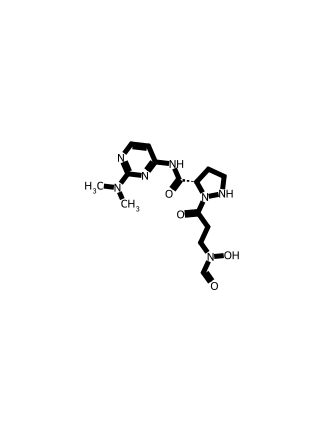 CN(C)c1nccc(NC(=O)[C@@H]2CCNN2C(=O)CCN(O)C=O)n1